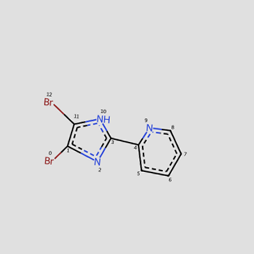 Brc1nc(-c2ccccn2)[nH]c1Br